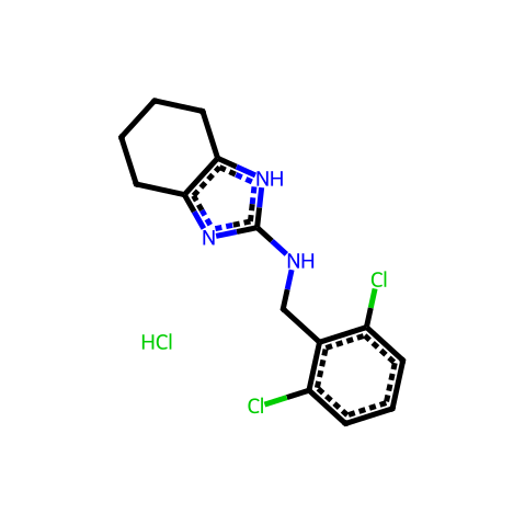 Cl.Clc1cccc(Cl)c1CNc1nc2c([nH]1)CCCC2